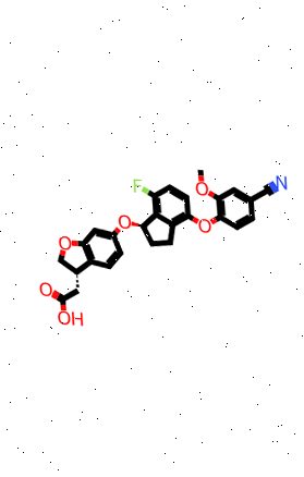 COc1cc(C#N)ccc1Oc1ccc(F)c2c1CC[C@H]2Oc1ccc2c(c1)OC[C@H]2CC(=O)O